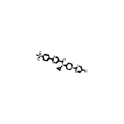 CCc1cnc(N2CCC(N(C(=O)c3cnc(-c4ccc(S(C)(=O)=O)cc4)nc3)C3CC3)CC2)nc1